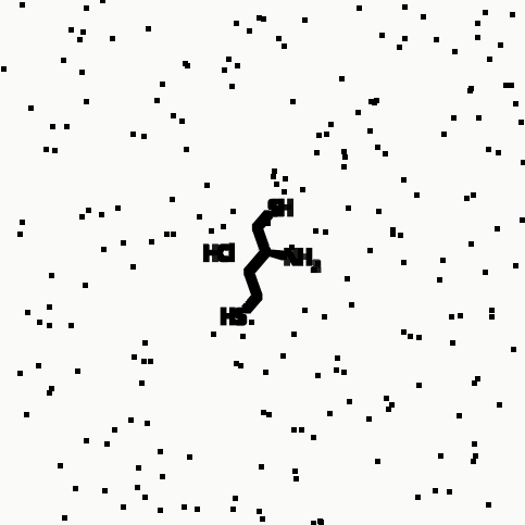 Cl.N[C@H](CS)CCS